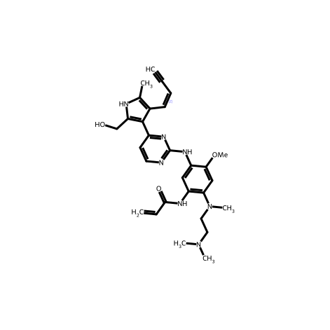 C#C/C=C\c1c(C)[nH]c(CO)c1-c1ccnc(Nc2cc(NC(=O)C=C)c(N(C)CCN(C)C)cc2OC)n1